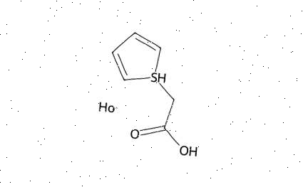 O=C(O)C[SH]1C=CC=C1.[Ho]